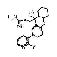 CC1(CSC(=N)N)c2cc(-c3cccnc3F)ccc2OC2CCCCC21